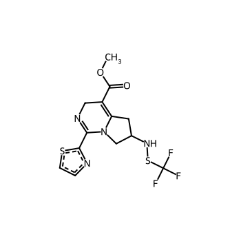 COC(=O)C1=C2CC(NSC(F)(F)F)CN2C(c2nccs2)=NC1